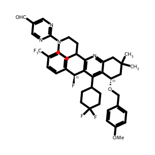 COc1ccc(CO[C@H]2CC(C)(C)Cc3nc(C4CCN(c5ncc(C=O)cn5)CC4)c([C@@H](F)c4ccc(C(F)(F)F)cc4)c(C4CCC(F)(F)CC4)c32)cc1